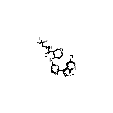 O=C(NCC(F)(F)F)C1COCCC1Nc1ccnc(-c2c[nH]c3ncc(Cl)cc23)n1